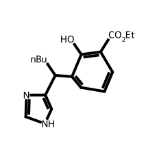 CCCCC(c1c[nH]cn1)c1cccc(C(=O)OCC)c1O